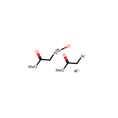 CC(C)(C)[O-].COC(=O)CC(C)=O.COC(=O)CC(C)=O.[Al+]